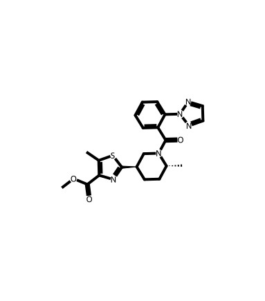 COC(=O)c1nc([C@@H]2CC[C@@H](C)N(C(=O)c3ccccc3-n3nccn3)C2)sc1C